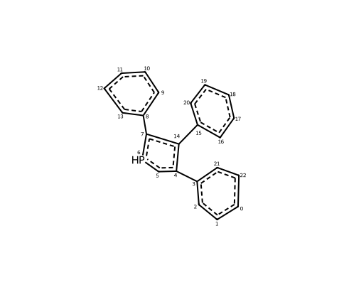 c1ccc(-c2c[pH]c(-c3ccccc3)c2-c2ccccc2)cc1